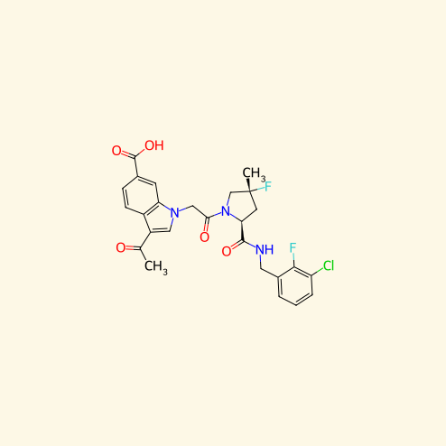 CC(=O)c1cn(CC(=O)N2C[C@](C)(F)C[C@H]2C(=O)NCc2cccc(Cl)c2F)c2cc(C(=O)O)ccc12